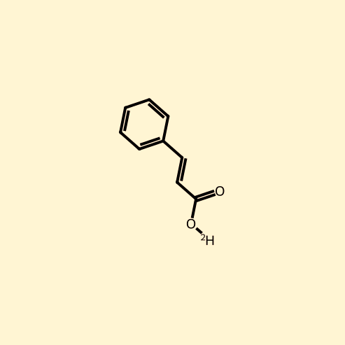 [2H]OC(=O)C=Cc1ccccc1